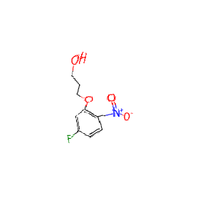 O=[N+]([O-])c1ccc(F)cc1OCCCO